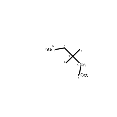 CCCCCCCCCC(C)(C)NCCCCCCCC